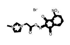 Cn1cc[n+](CC(=O)ON=c2c(=O)c3cccc([N+](=O)[O-])c3c2=O)c1.[Br-]